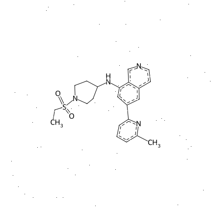 CCS(=O)(=O)N1CCC(Nc2cc(-c3cccc(C)n3)cc3ccncc23)CC1